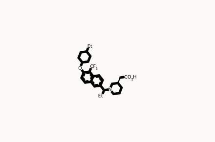 CCC1CCC(Oc2ccc3cc(C(CC)N4CCC[C@H](CC(=O)O)C4)ccc3c2C(F)(F)F)CC1